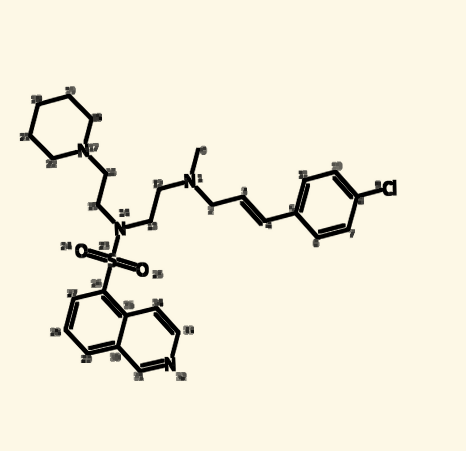 CN(CC=Cc1ccc(Cl)cc1)CCN(CCN1CCCCC1)S(=O)(=O)c1cccc2cnccc12